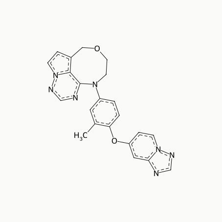 Cc1cc(N2CCOCc3ccn4ncnc2c34)ccc1Oc1ccn2ncnc2c1